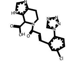 O=C(O)C1c2[nH]cnc2CCN1C(=O)C=Cc1cc(Cl)ccc1-n1cnnn1